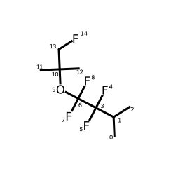 CC(C)C(F)(F)C(F)(F)OC(C)(C)CF